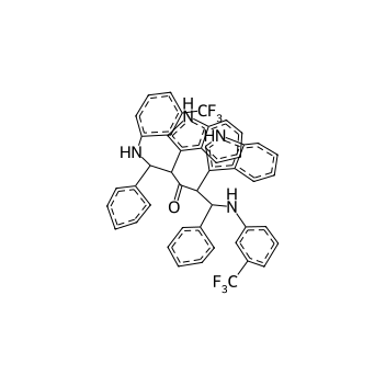 O=C(C(c1c[nH]c2ccccc12)C(Nc1cccc(C(F)(F)F)c1)c1ccccc1)C(c1c[nH]c2ccccc12)C(Nc1cccc(C(F)(F)F)c1)c1ccccc1